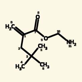 C=C(CC(C)(C)C)C(=O)OCN